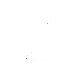 C#CCCCCCCCCCCCC(CC)OCC(O)COCCOC(C)OCCOC(c1ccccc1)(c1ccccc1)c1ccccc1